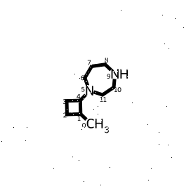 CC1CCC1N1CCCNCC1